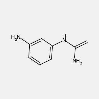 C=C(N)Nc1cccc(N)c1